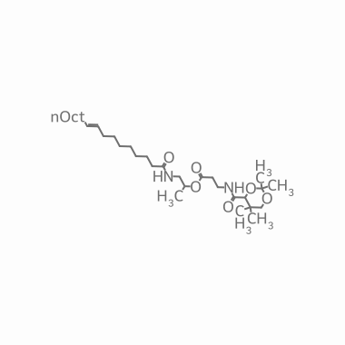 CCCCCCCCC=CCCCCCCCC(=O)NCC(C)OC(=O)CCNC(=O)C1OC(C)(C)OCC1(C)C